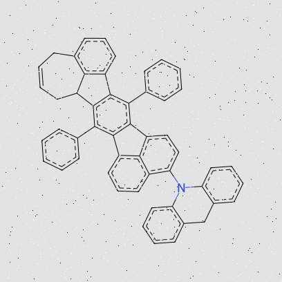 C1=CCC2c3c(cccc3-c3c(-c4ccccc4)c4c(c(-c5ccccc5)c32)-c2cccc3c(N5c6ccccc6Cc6ccccc65)ccc-4c23)C1